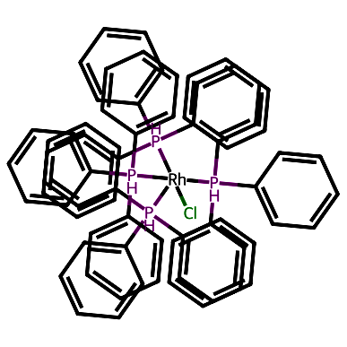 [Cl][Rh]([PH](c1ccccc1)(c1ccccc1)c1ccccc1)([PH](c1ccccc1)(c1ccccc1)c1ccccc1)([PH](c1ccccc1)(c1ccccc1)c1ccccc1)[PH](c1ccccc1)(c1ccccc1)c1ccccc1